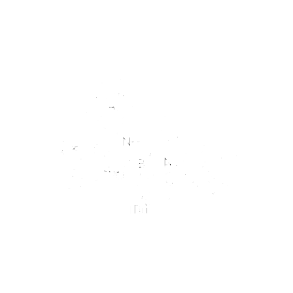 Cc1cc2c3c(c1)N(c1ccc4c(c1)C(C)(C)CCC4(C)C)c1c(oc4cc5c(cc14)C(C)(C)CCC5(C)C)B3c1cc(C(C)(C)C)ccc1N2c1cc2c(cc1C)C(C)(C)CCC2(C)C